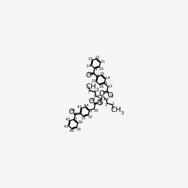 CCC[CH2][Sn]([CH2]CCC)([O]C(=O)Cc1ccc(C(=O)c2ccccc2)cc1)[O]C(=O)Cc1ccc(C(=O)c2ccccc2)cc1